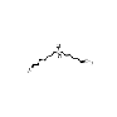 C=CCCCCCC[Si](Cl)(Cl)CCCCCC=C